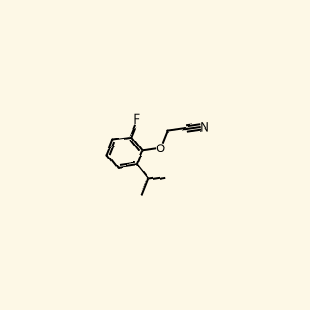 CC(C)c1cccc(F)c1OCC#N